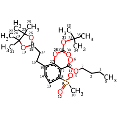 CCCCOC(=O)c1c(S(C)(=O)=O)ccc(CCB2OC(C)(C)C(C)(C)O2)c1OC(=O)OC(C)(C)C